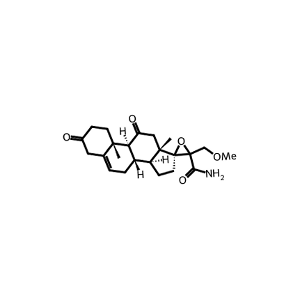 COCC1(C(N)=O)O[C@@]12CC[C@H]1[C@@H]3CC=C4CC(=O)CC[C@]4(C)[C@H]3C(=O)C[C@@]12C